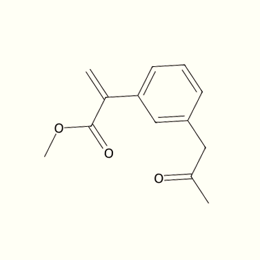 C=C(C(=O)OC)c1cccc(CC(C)=O)c1